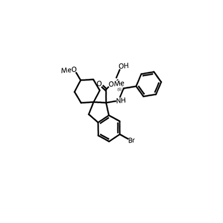 COC(=O)C1(N[C@H](CO)c2ccccc2)c2cc(Br)ccc2CC12CCC(OC)CC2